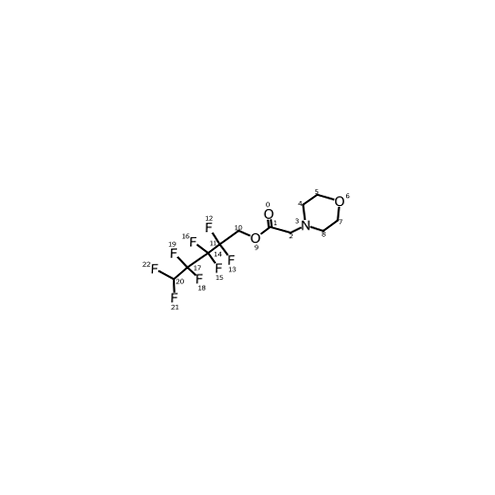 O=C(CN1CCOCC1)OCC(F)(F)C(F)(F)C(F)(F)C(F)F